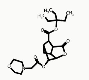 CCC(CC)(CC)OC(=O)C1C2CC3C(OC(=O)C31)C2OC(=O)CN1CCOCC1